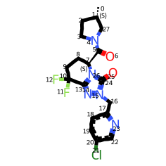 C[C@H]1CCN(C(=O)[C@@H]2CCC(F)(F)c3nn(Cc4ccc(Cl)cn4)c(=O)n32)C1